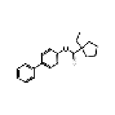 CCC1(C(=O)Oc2ccc(-c3ccccc3)cc2)CCCC1